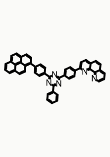 c1ccc(-c2nc(-c3ccc(-c4ccc5ccc6cccnc6c5n4)cc3)nc(-c3ccc(-c4ccc5ccc6cccc7ccc4c5c67)cc3)n2)cc1